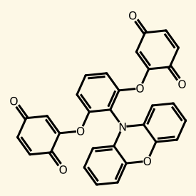 O=C1C=CC(=O)C(Oc2cccc(OC3=CC(=O)C=CC3=O)c2N2c3ccccc3Oc3ccccc32)=C1